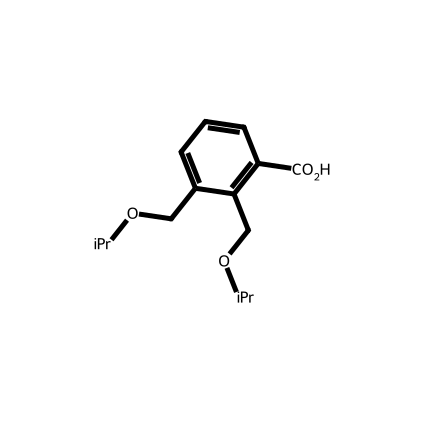 CC(C)OCc1cccc(C(=O)O)c1COC(C)C